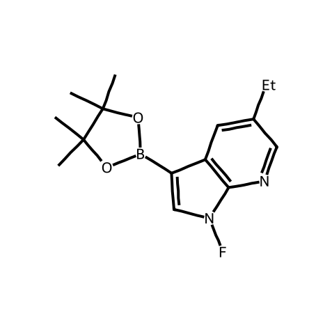 CCc1cnc2c(c1)c(B1OC(C)(C)C(C)(C)O1)cn2F